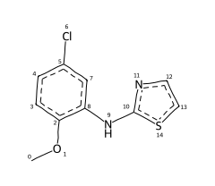 COc1ccc(Cl)cc1Nc1nccs1